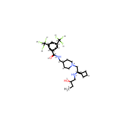 CCC(O)CNC(CN1CCC(CNC(=O)c2cc(C(F)(F)F)cc(C(F)(F)F)c2)CC1)=C1CCC1